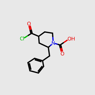 O=C(Cl)C1CCN(C(=O)O)C(Cc2ccccc2)C1